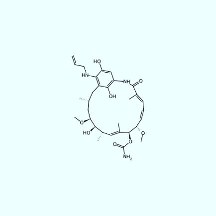 C=CCNc1c(O)cc2c(O)c1C[C@@H](C)C[C@H](OC)[C@H](O)[C@@H](C)/C=C(\C)[C@H](OC(N)=O)[C@@H](OC)/C=C\C=C(/C)C(=O)N2